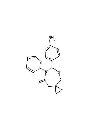 C=C1CC2(CC2)CSC(c2ccc(N)cc2)N1c1ccccc1